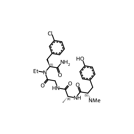 CCN(C(=O)CNC(=O)[C@@H](C)NC(=O)[C@H](Cc1ccc(O)cc1)NC)[C@@H](Cc1cccc(Cl)c1)C(N)=O